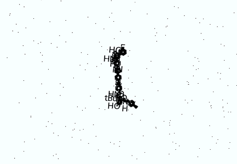 C#Cc1ccc(CNC(=O)[C@@H]2C[C@@H](O)CN2C(=O)[C@@H](NC(=O)[C@H]2CCC3(CC2)C[C@H](N2CCC(c4cnc(N5CCN6c7cc(-c8cccc(F)c8O)nnc7NC[C@H]6C5)nc4)CC2)C3)C(C)(C)C)cc1